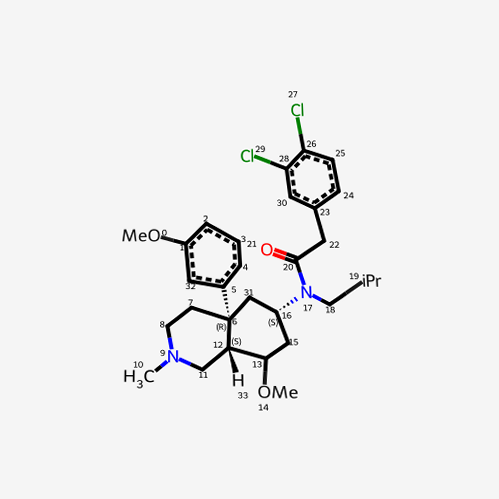 COc1cccc([C@@]23CCN(C)C[C@H]2C(OC)C[C@@H](N(CC(C)C)C(=O)Cc2ccc(Cl)c(Cl)c2)C3)c1